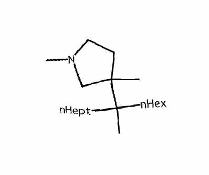 CCCCCCCC(C)(CCCCCC)C1(C)CCN(C)C1